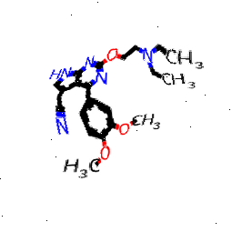 CCN(CC)CCOc1nc(-c2ccc(OC)c(OC)c2)c2c(C#N)c[nH]c2n1